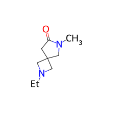 CCN1CC2(CC(=O)N(C)C2)C1